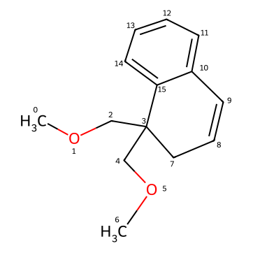 COCC1(COC)CC=Cc2ccccc21